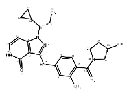 Cc1cc(Nc2nn([C@@H](CC#N)C3CC3)c3cc[nH]c(=O)c23)ccc1C(=O)N1CCC(F)C1